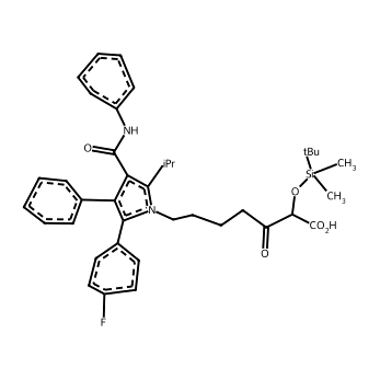 CC(C)c1c(C(=O)Nc2ccccc2)c(-c2ccccc2)c(-c2ccc(F)cc2)n1CCCCC(=O)C(O[Si](C)(C)C(C)(C)C)C(=O)O